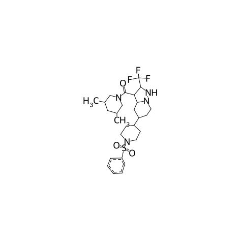 CC1CC(C)CN(C(=O)C2C3CC(C4CCN(S(=O)(=O)c5ccccc5)CC4)CCN3NC2C(F)(F)F)C1